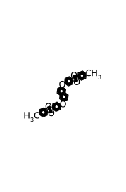 Cc1ccc(S(=O)(=O)c2ccc(Oc3ccc4cc(Oc5ccc(S(=O)(=O)c6ccc(C)cc6)cc5)ccc4c3)cc2)cc1